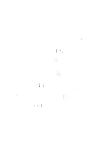 COC1=NN(c2ccccc2NC(=O)O)NC(Cl)=C1